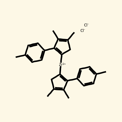 CC1=C(C)C(c2ccc(C)cc2)=[C]([Zr+2][C]2=C(c3ccc(C)cc3)C(C)=C(C)C2)C1.[Cl-].[Cl-]